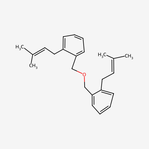 CC(C)=CCc1ccccc1COCc1ccccc1CC=C(C)C